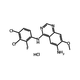 COc1cc2ncnc(Nc3ccc(Cl)c(Cl)c3F)c2cc1N.Cl